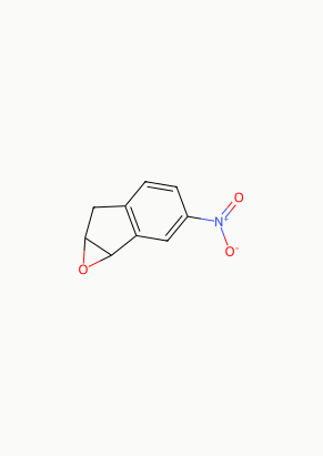 O=[N+]([O-])c1ccc2c(c1)C1OC1C2